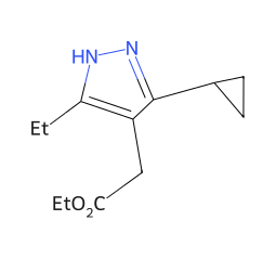 CCOC(=O)Cc1c(C2CC2)n[nH]c1CC